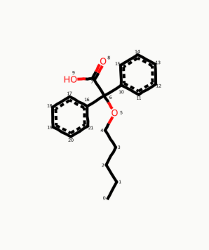 CCCCCOC(C(=O)O)(c1ccccc1)c1ccccc1